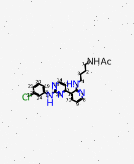 CC(=O)NCCCCNc1ncccc1-c1ccnc(Nc2cccc(Cl)c2)n1